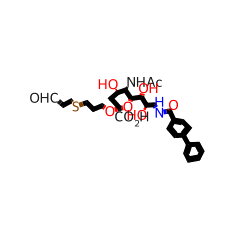 CC(=O)N[C@H]1C(C(O)[C@H](O)CNC(=O)c2ccc(-c3ccccc3)cc2)O[C@@](OCCCSCCC=O)(C(=O)O)C[C@@H]1O